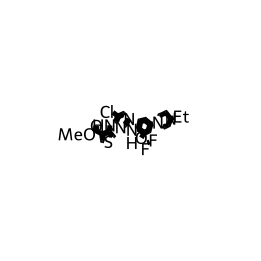 CCN1CCN(c2ccc(Nc3ncc(Cl)c(Nc4cscc4C(=O)OC)n3)c(OC(F)F)c2)CC1